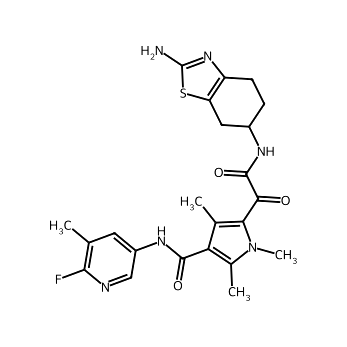 Cc1cc(NC(=O)c2c(C)c(C(=O)C(=O)NC3CCc4nc(N)sc4C3)n(C)c2C)cnc1F